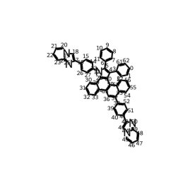 c1ccc(-c2c(-c3ccccc3)n(-c3ccc(-c4cn5ccccc5n4)cc3)c3c4ccccc4c4cc(-c5ccc(-c6cn7ccccc7n6)cc5)c5ccccc5c4c23)cc1